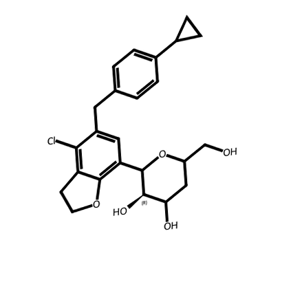 OCC1CC(O)[C@@H](O)C(c2cc(Cc3ccc(C4CC4)cc3)c(Cl)c3c2OCC3)O1